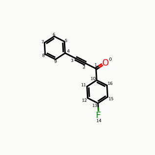 O=C(C#Cc1ccccc1)c1ccc(F)cc1